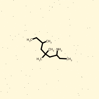 CCC(C)CC(C)(C)CC(N)CC